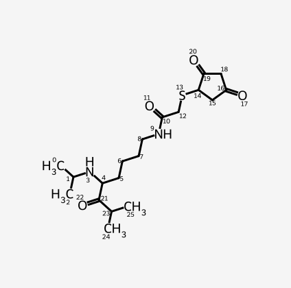 CC(C)NC(CCCCNC(=O)CSC1CC(=O)CC1=O)C(=O)C(C)C